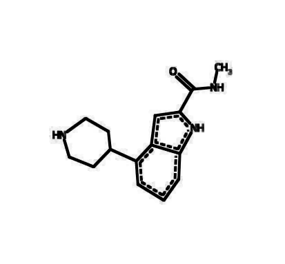 CNC(=O)c1cc2c(C3CCNCC3)cccc2[nH]1